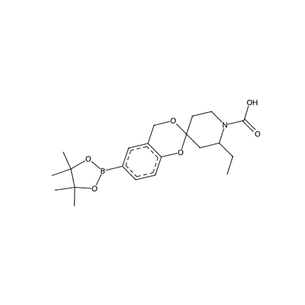 CCC1CC2(CCN1C(=O)O)OCc1cc(B3OC(C)(C)C(C)(C)O3)ccc1O2